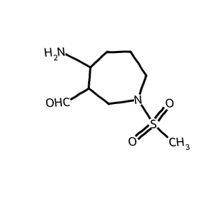 CS(=O)(=O)N1CCCC(N)C(C=O)C1